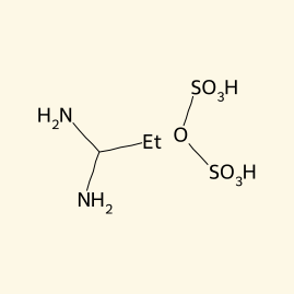 CCC(N)N.O=S(=O)(O)OS(=O)(=O)O